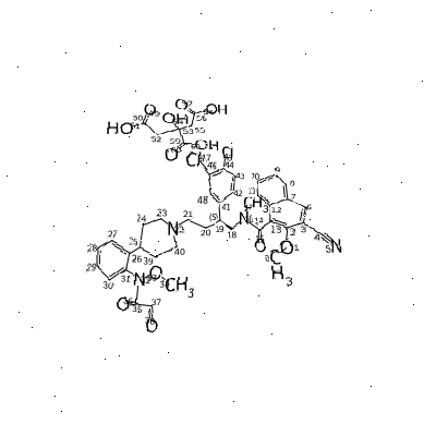 COc1c(C#N)cc2ccccc2c1C(=O)N(C)C[C@@H](CCN1CCC(c2ccccc2N(OC)C(=O)C=O)CC1)c1ccc(Cl)c(Cl)c1.O=C(O)CC(O)(CC(=O)O)C(=O)O